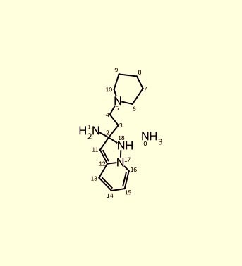 N.NC1(CCN2CCCCC2)C=C2C=CC=CN2N1